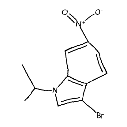 CC(C)n1cc(Br)c2ccc([N+](=O)[O-])cc21